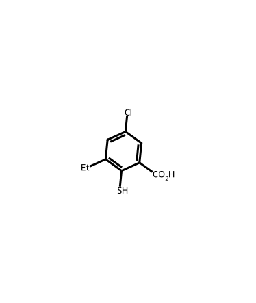 CCc1cc(Cl)cc(C(=O)O)c1S